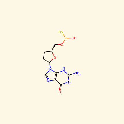 NC1NC(=O)c2ncn([C@H]3CC[C@@H](COP(O)S)O3)c2N1